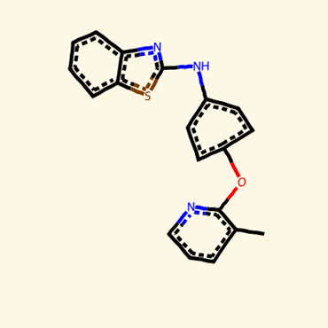 Cc1cccnc1Oc1ccc(Nc2nc3ccccc3s2)cc1